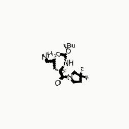 CC(C)(C)OC(=O)N[C@@H](CCCN)C(=O)N1CCC(F)(F)C1